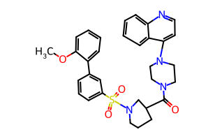 COc1ccccc1-c1cccc(S(=O)(=O)N2CCCC(C(=O)N3CCN(c4ccnc5ccccc45)CC3)C2)c1